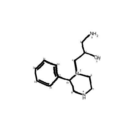 NCC(O)CN1CCNCC1c1ccccc1